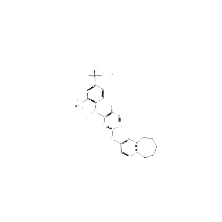 COC(C)(C)c1ccc(Nc2nc(Nc3ccc4c(c3)CCCCC4)ncc2Cl)c(P(C)(C)=O)c1